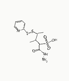 CC(SSc1ccccn1)C(C)C(C(=O)NN)S(=O)(=O)O